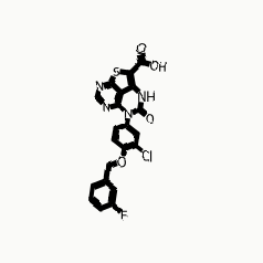 O=C(O)c1sc2ncnc3c2c1NC(=O)N3c1ccc(OCc2cccc(F)c2)c(Cl)c1